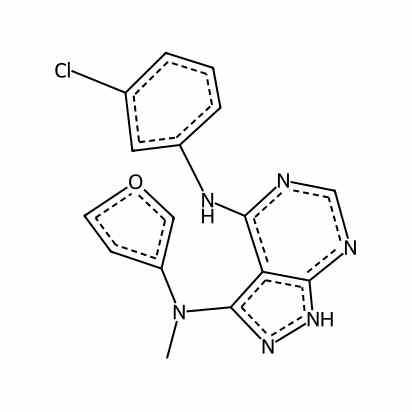 CN(c1ccoc1)c1n[nH]c2ncnc(Nc3cccc(Cl)c3)c12